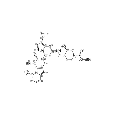 CC(C)(C)OC(=O)N1CC[C@H](CNc2cc(N(Cc3cn4c(C(F)(F)F)cccc4n3)C(=O)OC(C)(C)C)n3ncc(C4CC4)c3n2)[C@@H](O)C1